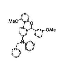 COc1cccc(C2Oc3cccc(OC)c3-c3ccc(N(Cc4ccccc4)c4ccccc4)cc32)c1